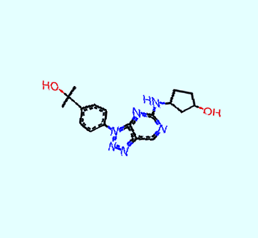 CC(C)(O)c1ccc(-n2nnc3cnc(NC4CCC(O)C4)nc32)cc1